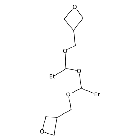 CCC(OCC1COC1)OC(CC)OCC1COC1